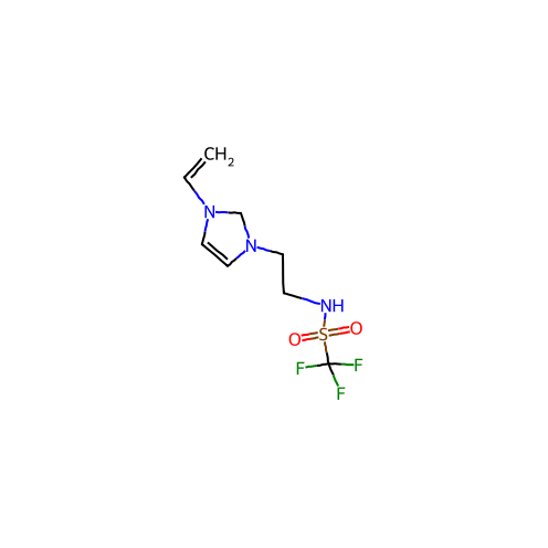 C=CN1C=CN(CCNS(=O)(=O)C(F)(F)F)C1